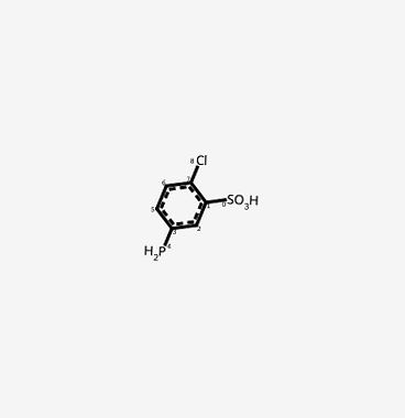 O=S(=O)(O)c1cc(P)ccc1Cl